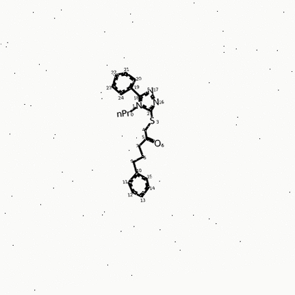 CCCn1c(SCC(=O)CCCc2ccccc2)nnc1-c1ccccc1